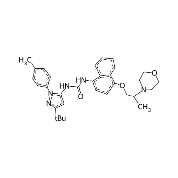 Cc1ccc(-n2nc(C(C)(C)C)cc2NC(=O)Nc2ccc(OCC(C)N3CCOCC3)c3ccccc23)cc1